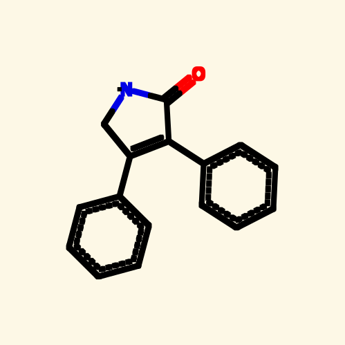 O=C1[N]CC(c2ccccc2)=C1c1ccccc1